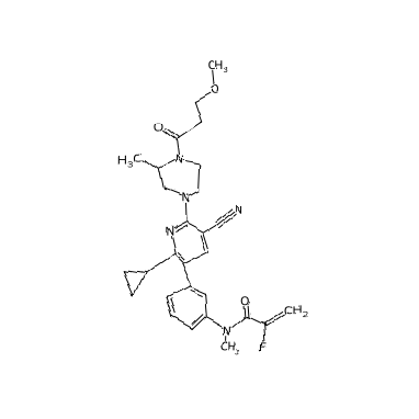 C=C(F)C(=O)N(C)c1cccc(-c2cc(C#N)c(N3CCN(C(=O)CCOC)C(C)C3)nc2C2CC2)c1